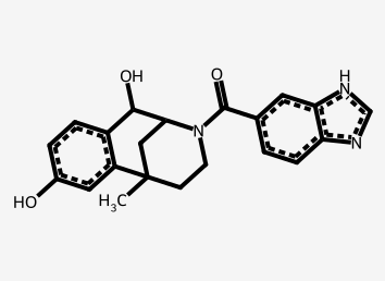 CC12CCN(C(=O)c3ccc4nc[nH]c4c3)C(C1)C(O)c1ccc(O)cc12